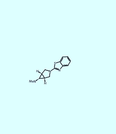 CN[C@H]1[C@@H]2CN(c3nc4ccccc4s3)C[C@@H]21